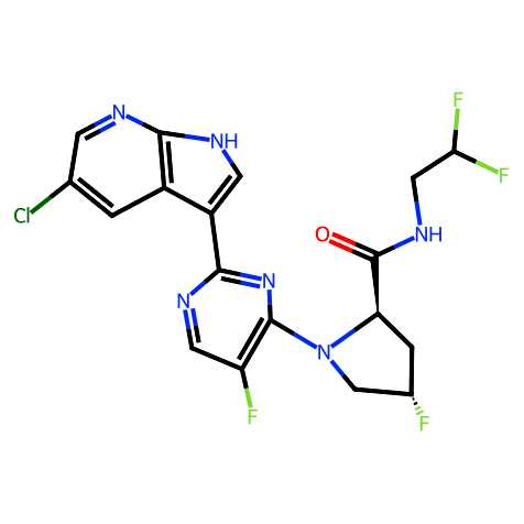 O=C(NCC(F)F)[C@H]1C[C@H](F)CN1c1nc(-c2c[nH]c3ncc(Cl)cc23)ncc1F